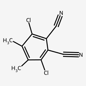 Cc1c(C)c(Cl)c(C#N)c(C#N)c1Cl